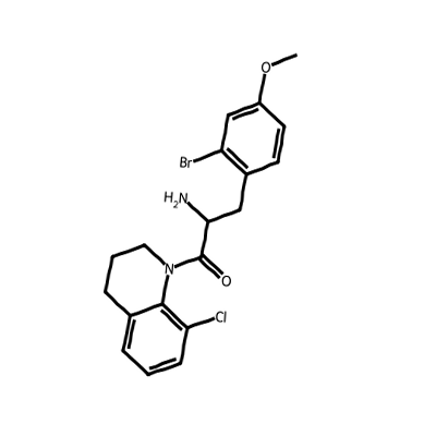 COc1ccc(CC(N)C(=O)N2CCCc3cccc(Cl)c32)c(Br)c1